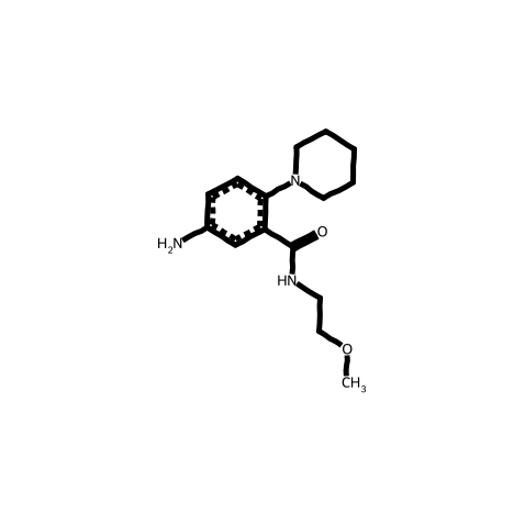 COCCNC(=O)c1cc(N)ccc1N1CCCCC1